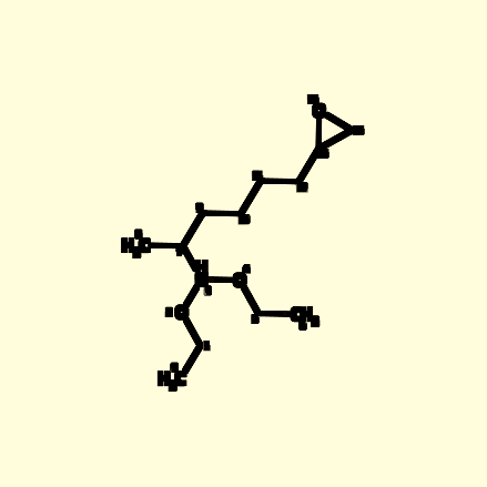 CCO[SiH](OCC)C(C)CCCCC1CO1